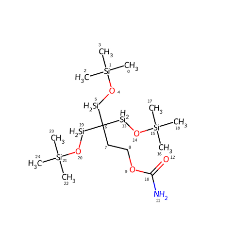 C[Si](C)(C)O[SiH2]C(CCOC(N)=O)([SiH2]O[Si](C)(C)C)[SiH2]O[Si](C)(C)C